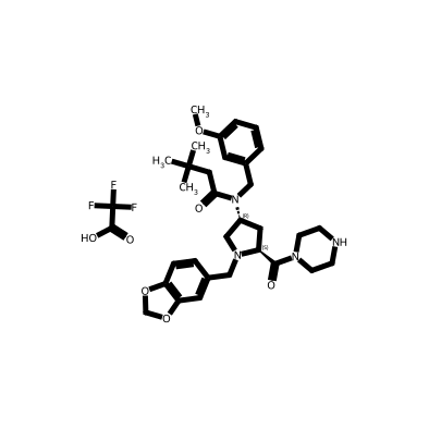 COc1cccc(CN(C(=O)CC(C)(C)C)[C@@H]2C[C@@H](C(=O)N3CCNCC3)N(Cc3ccc4c(c3)OCO4)C2)c1.O=C(O)C(F)(F)F